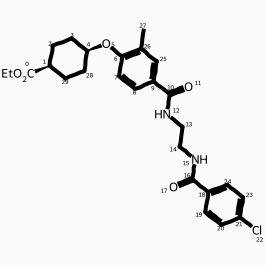 CCOC(=O)[C@H]1CC[C@@H](Oc2ccc(C(=O)NCCNC(=O)c3ccc(Cl)cc3)cc2C)CC1